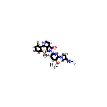 COc1ccc(N2Cc3c(ccnc3-c3c(F)cccc3OC)C2=O)nc1N1CCC(N)C1